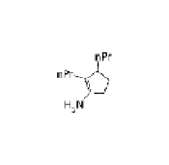 CCCC1=C(N)CCC1CCC